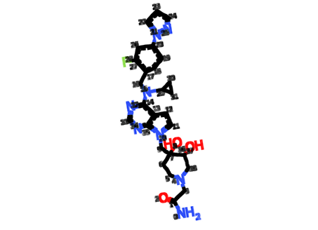 NC(=O)CN1CCC(O)(Cn2ccc3c(N(Cc4ccc(-n5cccn5)cc4F)C4CC4)ncnc32)C(O)C1